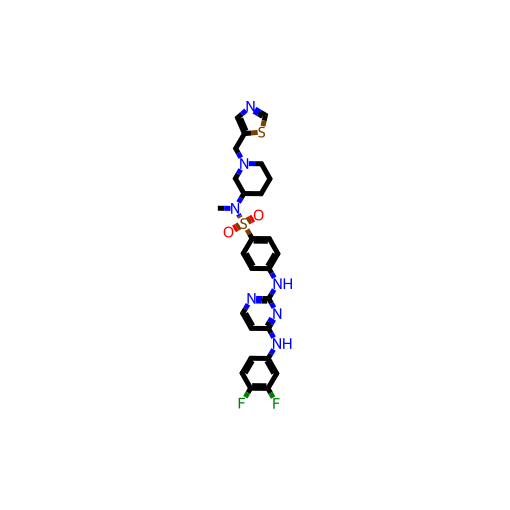 CN(C1CCCN(Cc2cncs2)C1)S(=O)(=O)c1ccc(Nc2nccc(Nc3ccc(F)c(F)c3)n2)cc1